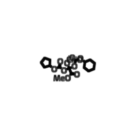 COC(=O)C(O[C]=O)(OC(=O)OC1CCCCC1)OC(=O)OC1CCCC1